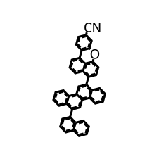 N#Cc1ccc2c(c1)Oc1ccc(-c3cc4c5ccccc5c(-c5cccc6ccccc56)cc4c4ccccc34)c3cccc-2c13